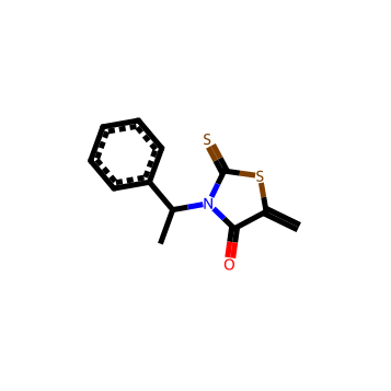 C=C1SC(=S)N(C(C)c2ccccc2)C1=O